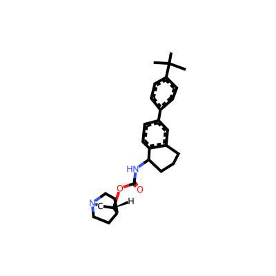 CC(C)(C)c1ccc(-c2ccc3c(c2)CCCC3NC(=O)O[C@H]2CN3CCC2CC3)cc1